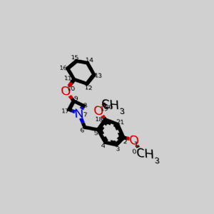 COc1ccc(CN2CC(OC3CCCCC3)C2)c(OC)c1